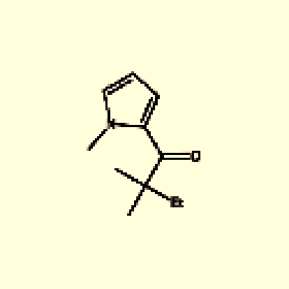 CCC(C)(C)C(=O)c1cccn1C